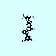 CCc1cc(CC[C@]2(C3CCCC3)CC(O)=C(Cc3nc4nc(C)c(C)c(C)n4n3)C(=O)O2)cc(CC)n1